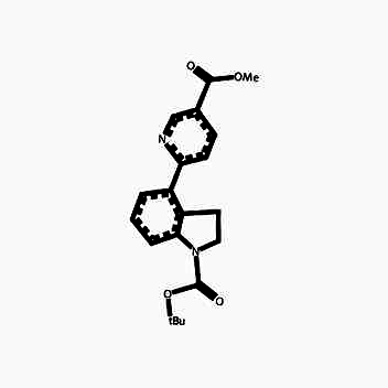 COC(=O)c1ccc(-c2cccc3c2CCN3C(=O)OC(C)(C)C)nc1